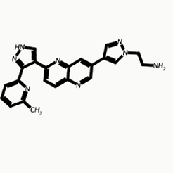 Cc1cccc(-c2n[nH]cc2-c2ccc3ncc(-c4cnn(CCN)c4)cc3n2)n1